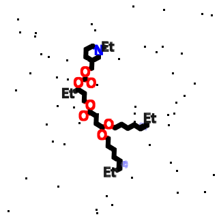 [CH2]CC(CCOC(=O)CCC(OCCCC/C=C\CC)OCCCC/C=C\CC)OC(=O)OCC1CCCN(CC)C1